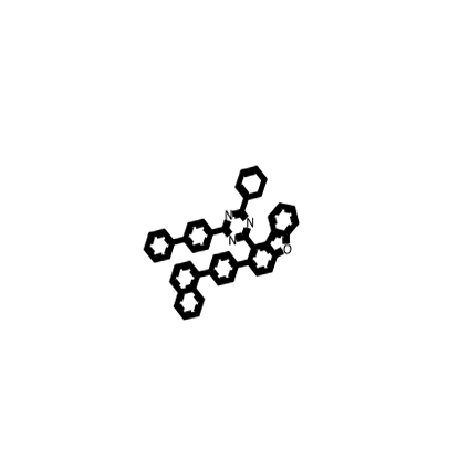 C1=CCCC(c2nc(-c3ccc(-c4ccccc4)cc3)nc(-c3c(-c4ccc(-c5cccc6ccccc56)cc4)ccc4oc5ccccc5c34)n2)=C1